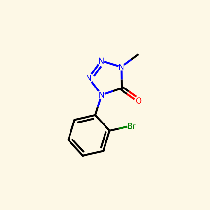 Cn1nnn(-c2ccccc2Br)c1=O